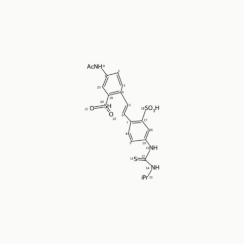 CC(=O)Nc1ccc(/C=C/c2ccc(NC(=S)NC(C)C)cc2S(=O)(=O)O)c([SH](=O)=O)c1